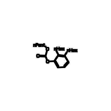 CCCCCCc1cccc(OC(=O)OCCCCC)c1CCCCCC